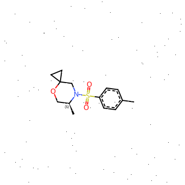 Cc1ccc(S(=O)(=O)N2CC3(CC3)OC[C@@H]2C)cc1